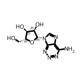 Nc1nnnc2c1ncn2[C@@H]1O[C@H](CO)[C@@H](O)[C@H]1O